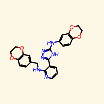 c1cnc(NCc2ccc3c(c2)OCCO3)c(-c2nnc(Nc3ccc4c(c3)OCCO4)[nH]2)c1